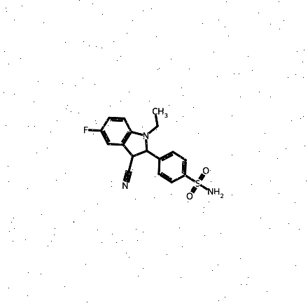 CCN1c2ccc(F)cc2C(C#N)C1c1ccc(S(N)(=O)=O)cc1